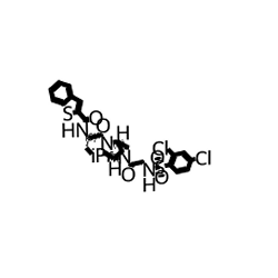 CC(C)C[C@H](NC(=O)c1cc2ccccc2s1)C(=O)N1C[C@H]2C[C@@H]1CN2C(=O)CNS(=O)(=O)c1ccc(Cl)cc1Cl